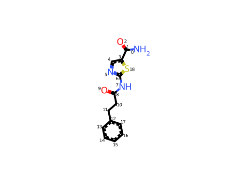 NC(=O)c1cnc(NC(=O)[CH]Cc2ccccc2)s1